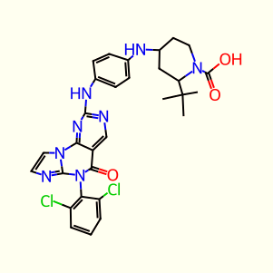 CC(C)(C)C1CC(Nc2ccc(Nc3ncc4c(=O)n(-c5c(Cl)cccc5Cl)c5nccn5c4n3)cc2)CCN1C(=O)O